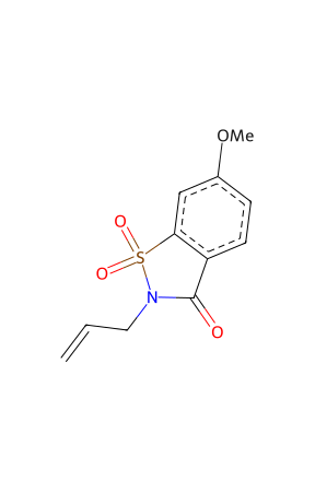 C=CCN1C(=O)c2ccc(OC)cc2S1(=O)=O